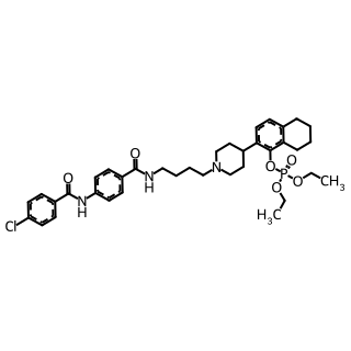 CCOP(=O)(OCC)Oc1c(C2CCN(CCCCNC(=O)c3ccc(NC(=O)c4ccc(Cl)cc4)cc3)CC2)ccc2c1CCCC2